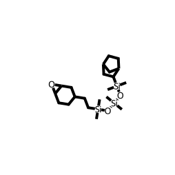 C[Si](C)(CCC1CCC2OC2C1)O[Si](C)(C)O[Si](C)(C)C1CC2CCC1C2